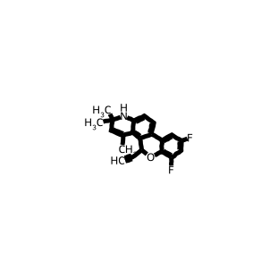 C#CC1Oc2c(F)cc(F)cc2-c2ccc3c(c21)C(C)=CC(C)(C)N3